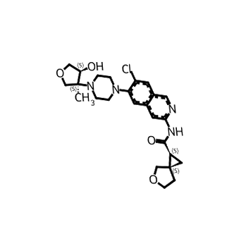 C[C@]1(N2CCN(c3cc4cc(NC(=O)[C@H]5C[C@]56CCOC6)ncc4cc3Cl)CC2)COC[C@H]1O